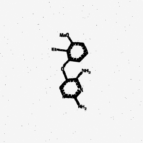 CCc1c(OC)cccc1Oc1cnc(N)nc1N